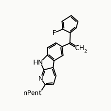 C=C(c1ccc2[nH]c3nc(CCCCC)ccc3c2c1)c1ccccc1F